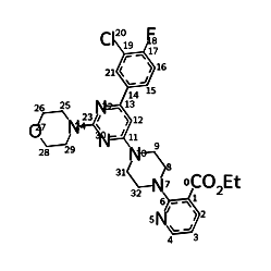 CCOC(=O)c1cccnc1N1CCN(c2cc(-c3ccc(F)c(Cl)c3)nc(N3CCOCC3)n2)CC1